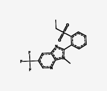 CCS(=O)(=O)c1ccccc1-c1nc2cc(C(F)(F)F)cnc2n1C